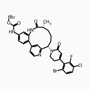 C[C@@H]1CCC[C@H](N2CCC(c3c(Br)ccc(Cl)c3F)=CC2=O)c2cc(ccn2)-c2ccc(NC(=O)OC(C)(C)C)cc2NC1=O